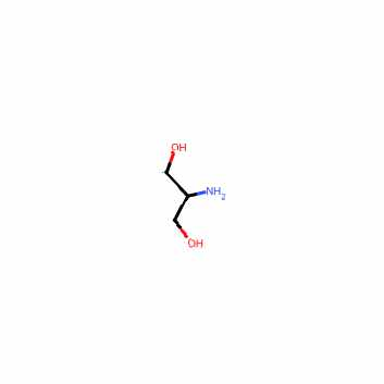 NC([CH]O)CO